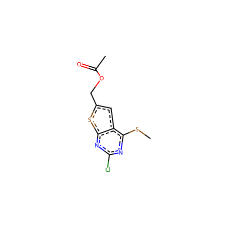 CSc1nc(Cl)nc2sc(COC(C)=O)cc12